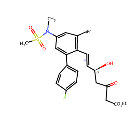 CCOC(=O)CC(=O)C[C@H](O)/C=C/c1c(-c2ccc(F)cc2)cc(N(C)S(C)(=O)=O)cc1C(C)C